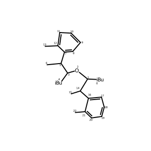 CCC(C)C(OC(C(C)CC)C(C)c1ccccc1C)C(C)c1ccccc1C